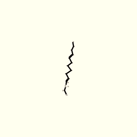 [CH2]CCC=CCCCCC=CCCC